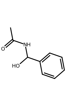 CC(=O)NC(O)c1ccccc1